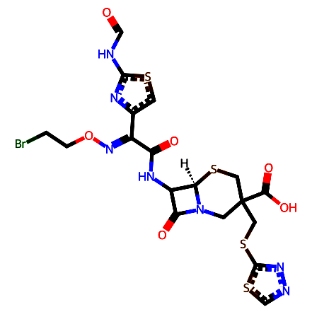 O=CNc1nc(C(=NOCCBr)C(=O)NC2C(=O)N3CC(CSc4nncs4)(C(=O)O)CS[C@H]23)cs1